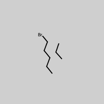 CCC.CCCCCBr